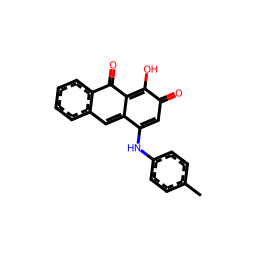 Cc1ccc(NC2=CC(=O)C(O)=C3C(=O)c4ccccc4C=C23)cc1